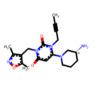 CC#CCn1c(N2CCC[C@@H](N)C2)cc(=O)n(Cc2c(C)noc2C)c1=O